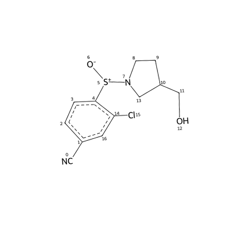 N#Cc1ccc([S+]([O-])N2CCC(CO)C2)c(Cl)c1